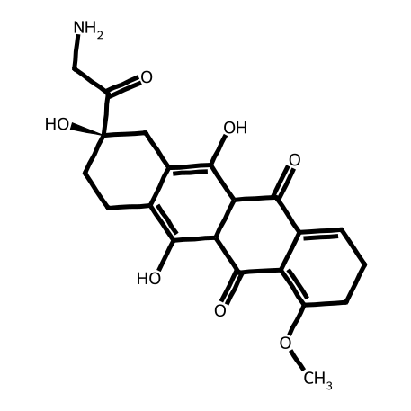 COC1=C2C(=O)C3C(O)=C4CC[C@](O)(C(=O)CN)CC4=C(O)C3C(=O)C2=CCC1